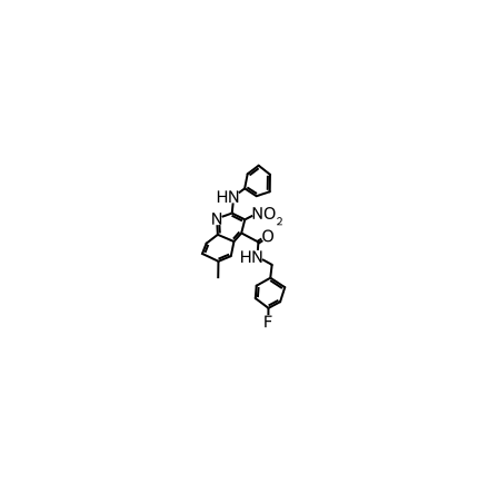 Cc1ccc2nc(Nc3ccccc3)c([N+](=O)[O-])c(C(=O)NCc3ccc(F)cc3)c2c1